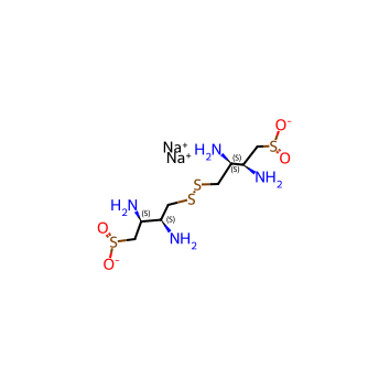 N[C@H](CSSC[C@@H](N)[C@H](N)CS(=O)[O-])[C@H](N)CS(=O)[O-].[Na+].[Na+]